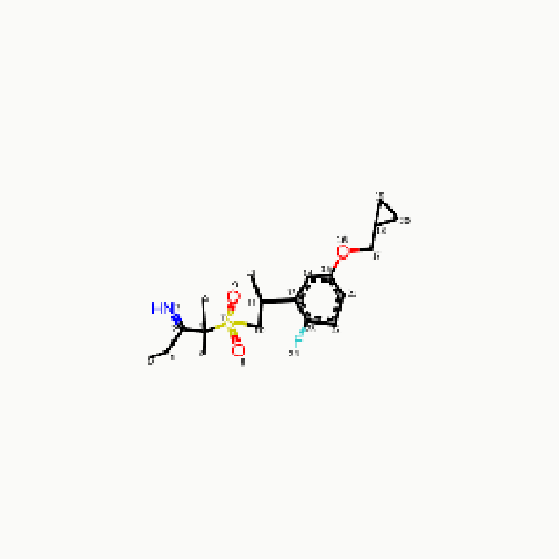 CCC(=N)C(C)(C)S(=O)(=O)CC(C)c1cc(OCC2CC2)ccc1F